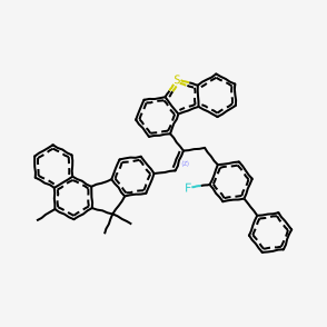 Cc1cc2c(c3ccccc13)-c1ccc(/C=C(/Cc3ccc(-c4ccccc4)cc3F)c3cccc4sc5ccccc5c34)cc1C2(C)C